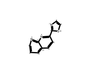 c1cnc2nc(-c3nccs3)ccc2c1